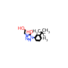 CC(C)(C)c1cccc(N2N=NN(CCO)C2O)c1